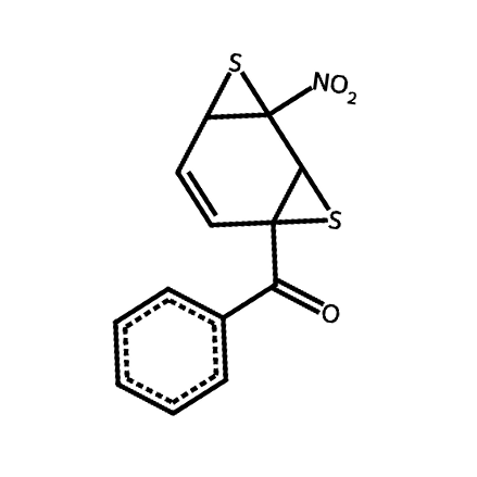 O=C(c1ccccc1)C12C=CC3SC3([N+](=O)[O-])C1S2